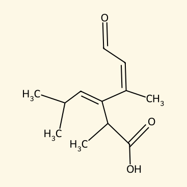 CC(=CC=O)C(=CC(C)C)C(C)C(=O)O